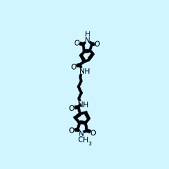 CN1C(=O)c2ccc(C(=O)NCCCCCNC(=O)c3ccc4c(c3)C(=O)NC4=O)cc2C1=O